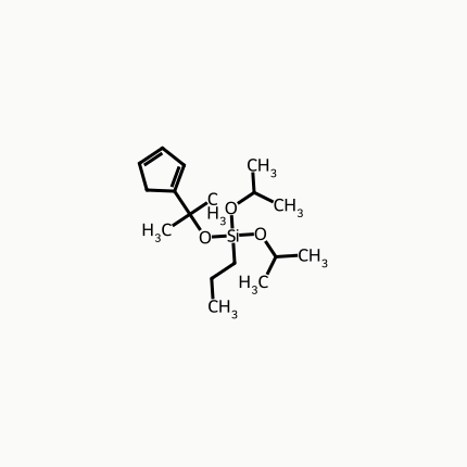 CCC[Si](OC(C)C)(OC(C)C)OC(C)(C)C1=CC=CC1